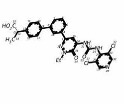 CCn1nc(-c2cccc(-c3ccc([C@H](C)C(=O)O)cc3)c2)cc(NC(=O)Nc2c(Cl)cncc2Cl)c1=O